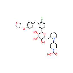 O=C(O)N1CCC(N2CCCCC2C[C@H]2O[C@@H](c3ccc(Cl)c(Cc4ccc(O[C@@H]5CCOC5)cc4)c3)[C@H](O)[C@H](O)[C@@H]2O)CC1